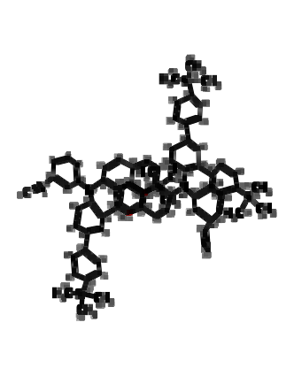 [C-]#[N+]c1cccc(N(C2=C3C=CC4=C5C(=CC=C(C=C2)C35)C(N(c2cccc(C#N)c2)c2ccc(-c3ccc([Si](C)(C)C)cc3)cc2-c2ccc([Si](C)(C)C)cc2)C=C4)c2ccc(-c3ccc([Si](C)(C)C)cc3)cc2-c2ccc([Si](C)(C)C)cc2)c1